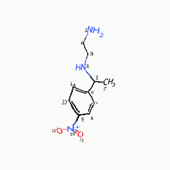 CC(NCCN)c1ccc([N+](=O)[O-])cc1